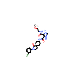 COCCNC(=O)C1=C(C(=O)N[C@H]2CC[C@@]3(CCN(c4cccc(Cl)c4)C3=O)CC2)NCN1